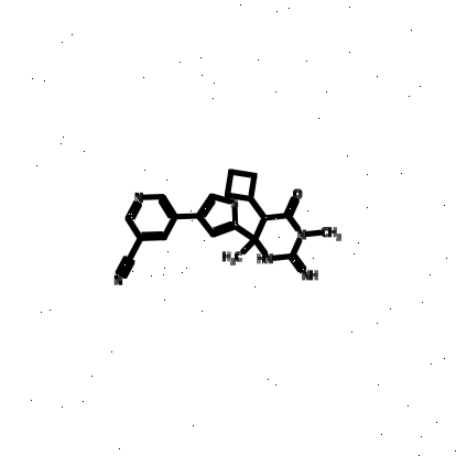 CN1C(=N)NC(C)(c2cc(-c3cncc(C#N)c3)cs2)C(C2CCC2)C1=O